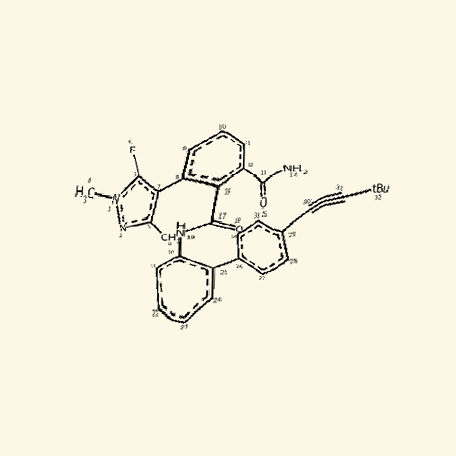 Cc1nn(C)c(F)c1-c1cccc(C(N)=O)c1C(=O)Nc1ccccc1-c1ccc(C#CC(C)(C)C)cc1